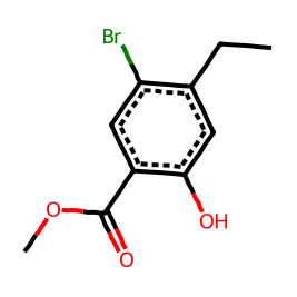 CCc1cc(O)c(C(=O)OC)cc1Br